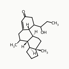 CCC(O)C1CC(=O)C=C2CC(C)[C@@H]3[C@H](CC[C@]4(C)CCC[C@@H]34)[C@H]21